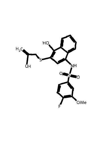 C=C(O)CSc1cc(NS(=O)(=O)c2ccc(F)c(OC)c2)c2ccccc2c1O